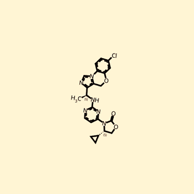 C[C@H](Nc1nccc(N2C(=O)OC[C@@H]2C2CC2)n1)c1ncn2c1COc1cc(Cl)ccc1-2